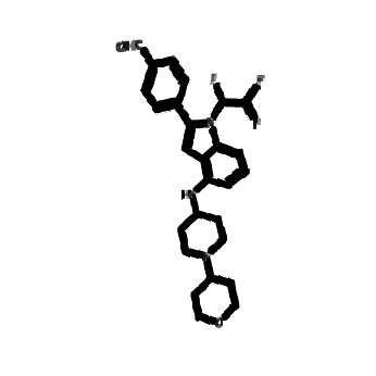 O=Cc1ccc(-c2cc3c(NC4CCN(C5CCOCC5)CC4)cccc3n2C(F)C(F)F)cc1